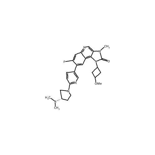 COC1CC(n2c(=O)n(C)c3cnc4cc(F)c(-c5ccc(N6CC[C@H](N(C)C)C6)nc5)cc4c32)C1